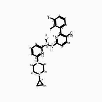 Cc1c(F)cccc1-c1nc(N[S+]([O-])c2cccc(N3CCN(C4CC4)CC3)n2)ccc1Cl